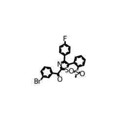 CS(=O)(=O)c1ccccc1-c1sc(C(=O)c2cccc(Br)c2)nc1-c1ccc(F)cc1